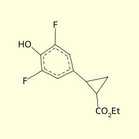 CCOC(=O)C1CC1c1cc(F)c(O)c(F)c1